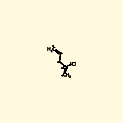 C=C[CH2][Pd](=[CH2])[Cl]